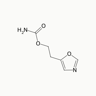 NC(=O)OCCc1cnco1